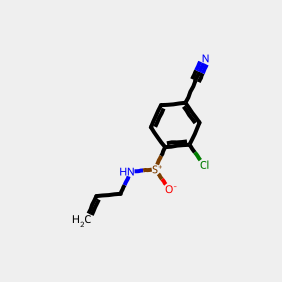 C=CCN[S+]([O-])c1ccc(C#N)cc1Cl